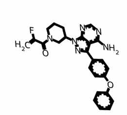 C=C(F)C(=O)N1CCCC(n2nc(-c3ccc(Oc4ccccc4)cc3)c3c(N)ncnc32)C1